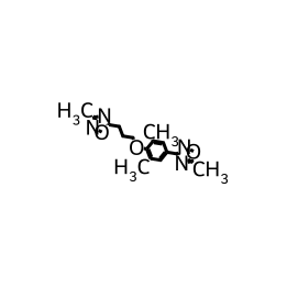 Cc1noc(CCCOc2c(C)cc(-c3noc(C)n3)cc2C)n1